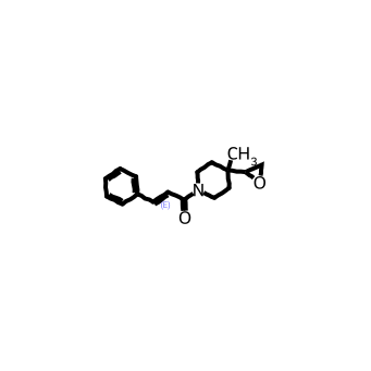 CC1(C2CO2)CCN(C(=O)/C=C/c2ccccc2)CC1